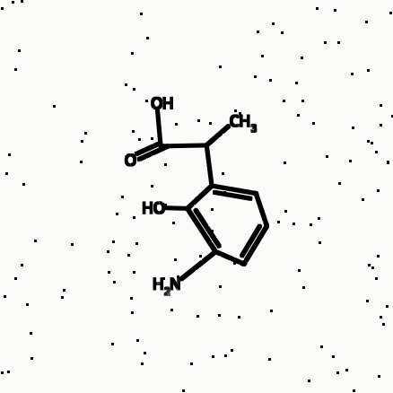 CC(C(=O)O)c1cccc(N)c1O